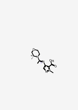 C/C(=N\c1cnn(C)c1C(=O)O)N1CCOC[C@H]1C